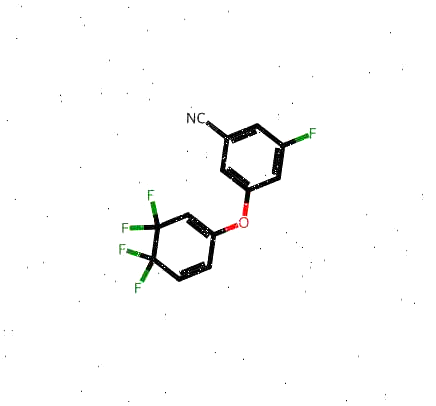 N#Cc1cc(F)cc(OC2=CC(F)(F)C(F)(F)C=C2)c1